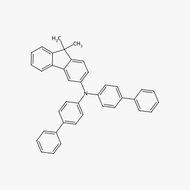 CC1(C)c2ccccc2-c2cc(N(c3ccc(-c4ccccc4)cc3)c3ccc(-c4ccccc4)cc3)ccc21